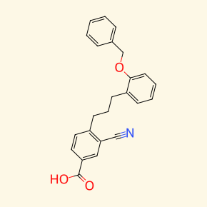 N#Cc1cc(C(=O)O)ccc1CCCc1ccccc1OCc1ccccc1